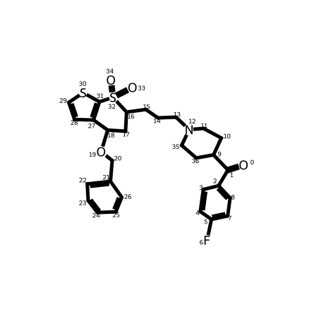 O=C(c1ccc(F)cc1)C1CCN(CCCC2CC(OCc3ccccc3)c3ccsc3S2(=O)=O)CC1